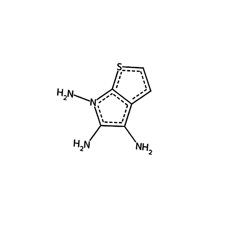 Nc1c(N)n(N)c2sccc12